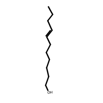 CCCC=CCCCCCCO